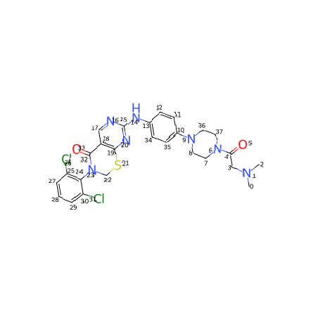 CN(C)CC(=O)N1CCN(c2ccc(Nc3ncc4c(n3)SCN(c3c(Cl)cccc3Cl)C4=O)cc2)CC1